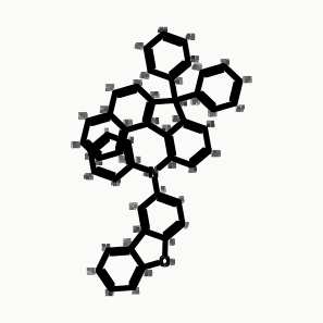 c1ccc(N(c2ccc3oc4ccccc4c3c2)c2cccc3c2-c2c(ccc4ccccc24)C3(c2ccccc2)c2ccccc2)cc1